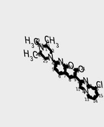 C[C@@H]1CN(c2ccc3cc(-c4cn5cccc(Cl)c5n4)c(=O)oc3n2)C[C@H](C)N1C